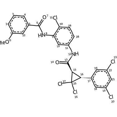 COc1cccc(C(=O)Nc2cc(NC(=O)[C@H]3[C@H](c4cc(Cl)cc(Cl)c4)C3(Cl)Cl)ccc2Cl)c1